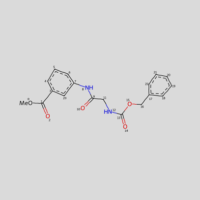 COC(=O)c1cccc(NC(=O)CNC(=O)OCc2ccccc2)c1